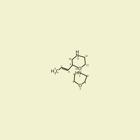 C1COCCN1.CC=CC1CNCCO1